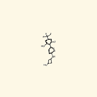 Oc1cc(C(F)(F)F)cc(Cl)c1-c1ccc(NC2CC(O)C2)nn1